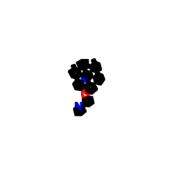 Cc1ccc(-c2ccccc2)cc1-c1cccc(-c2cc(-c3ccccc3)ccc2C)c1-c1ccc(-c2cccc(Oc3cccc(-c4ccccn4)c3)c2)nc1